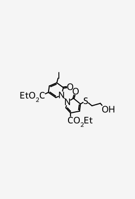 CCOC(=O)c1cc(I)c(=O)n(-n2cc(C(=O)OCC)cc(SCCO)c2=O)c1